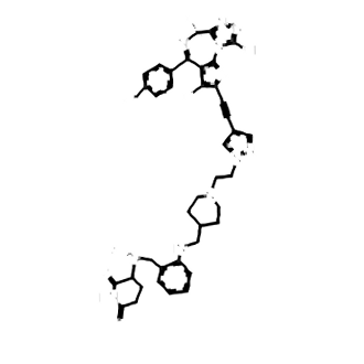 CC(=O)N(Cc1ccccc1NCC1CCN(CCn2cc(C#Cc3sc4c(c3C)C(c3ccc(Cl)cc3)=N[C@@H](C)c3nnc(C)n3-4)cn2)CC1)C1CCC(=O)NC1=O